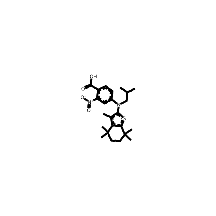 Cc1c(N(CC(C)C)c2ccc(C(=O)O)c([N+](=O)[O-])c2)sc2c1C(C)(C)CCC2(C)C